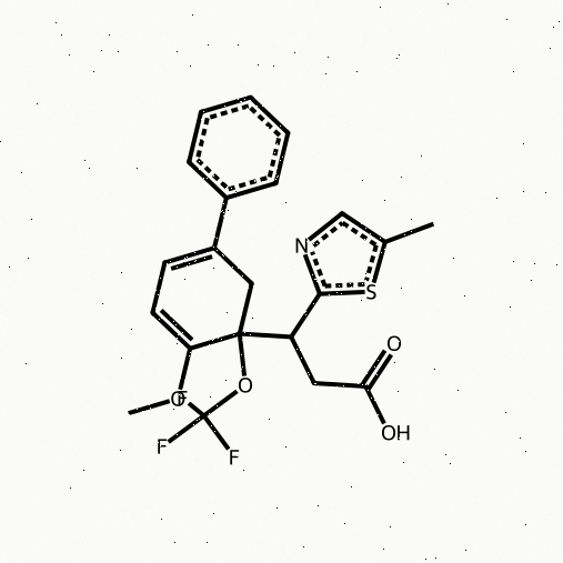 COC1=CC=C(c2ccccc2)CC1(OC(F)(F)F)C(CC(=O)O)c1ncc(C)s1